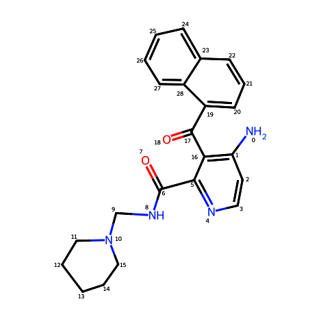 Nc1ccnc(C(=O)NCN2CCCCC2)c1C(=O)c1cccc2ccccc12